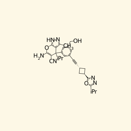 Cc1n[nH]c2c1C(c1cc(C#C[C@H]3C[C@H](c4nnc(C(C)C)o4)C3)cc(CO)c1)(C(C)C)C(C#N)=C(N)O2